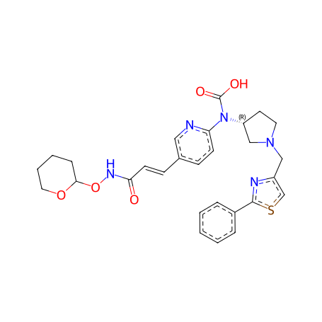 O=C(C=Cc1ccc(N(C(=O)O)[C@@H]2CCN(Cc3csc(-c4ccccc4)n3)C2)nc1)NOC1CCCCO1